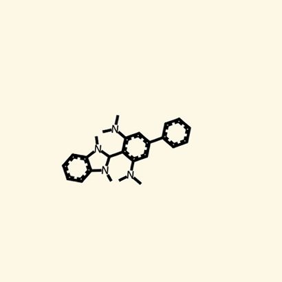 CN(C)c1cc(-c2ccccc2)cc(N(C)C)c1C1N(C)c2ccccc2N1C